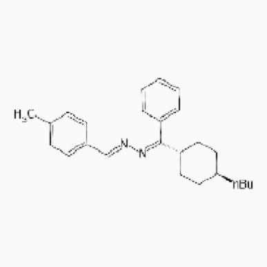 CCCC[C@H]1CC[C@H](C(=NN=Cc2ccc(C)cc2)c2ccccc2)CC1